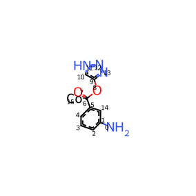 Nc1cccc(C(=O)Oc2c[nH]nn2)c1.[Co]